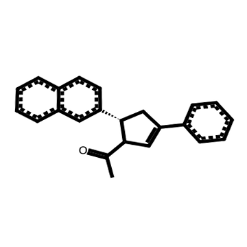 CC(=O)C1C=C(c2ccccc2)C[C@H]1c1ccc2ccccc2c1